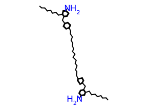 CCCCCCCCc1cc(N)ccc1Cc1ccc(CCCCCCCCCCCCCCCCc2ccc(Cc3ccc(N)cc3CCCCCCCC)cc2)cc1